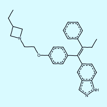 CC/C(=C(/c1ccc(OCCN2CC(CC)C2)cc1)c1ccc2[nH]ncc2c1)c1ccccc1